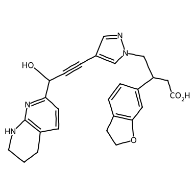 O=C(O)CC(Cn1cc(C#CC(O)c2ccc3c(n2)NCCC3)cn1)c1ccc2c(c1)OCC2